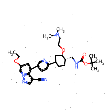 CCOc1cc(-c2ccc(C3CC[C@@H](CNC(=O)OC(C)(C)C)[C@H](OCCN(C)C)C3)nc2)c2c(C#N)cnn2c1